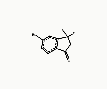 O=C1CC(F)(F)c2cc(Br)ccc21